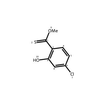 COC(=S)c1ccc(Cl)cc1O